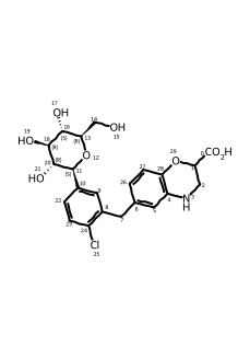 O=C(O)C1CNc2cc(Cc3cc([C@@H]4O[C@H](CO)[C@@H](O)[C@H](O)[C@H]4O)ccc3Cl)ccc2O1